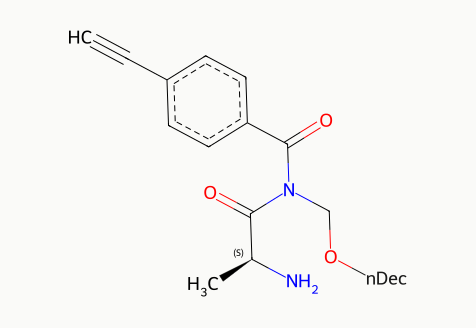 C#Cc1ccc(C(=O)N(COCCCCCCCCCC)C(=O)[C@H](C)N)cc1